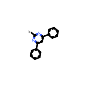 [Ir][c]1nc(-c2ccccc2)cc(-c2ccccc2)n1